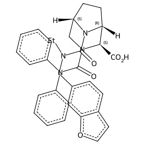 CCN(Cc1ccc2ccoc2c1)C(=O)N1[C@H]2CC[C@@H]1[C@@H](C(=O)O)N(C(=O)N(c1ccccc1)c1ccccc1)C2